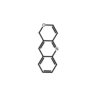 [CH]1OC=Cc2nc3ccccc3cc21